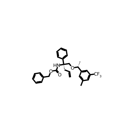 C=CC[C@](CO[C@H](C)c1cc(C)cc(C(F)(F)F)c1)(NC(=O)OCc1ccccc1)c1ccccc1